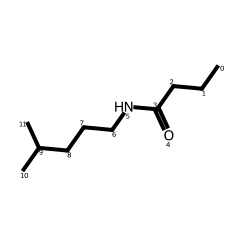 CCCC(=O)NCCCC(C)C